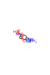 N=C(N)Nc1ccc2c(c1)CCCOc1c(cccc1C(=O)NCS(=O)(=O)O)OC2=O